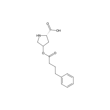 O=C(CCCc1ccccc1)OC1CN[C@H](C(=O)O)C1